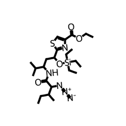 CCOC(=O)c1csc(C(CC(NC(=O)C(N=[N+]=[N-])C(C)CC)C(C)C)O[Si](CC)(CC)CC)n1